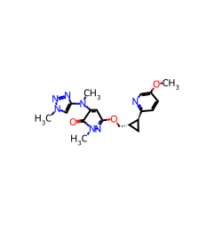 COc1ccc([C@H]2C[C@@H]2COc2cc(N(C)c3cn(C)nn3)c(=O)n(C)n2)nc1